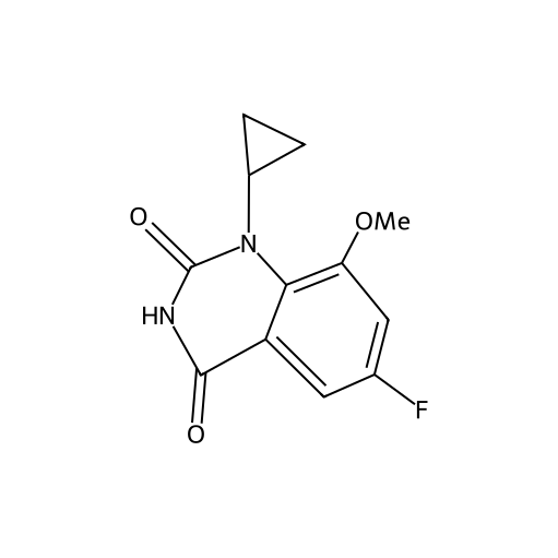 COc1cc(F)cc2c(=O)[nH]c(=O)n(C3CC3)c12